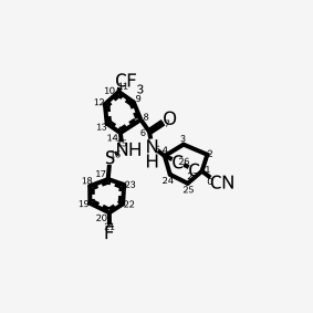 N#CC12CCC(NC(=O)c3cc(C(F)(F)F)ccc3NSc3ccc(F)cc3)(CC1)CC2